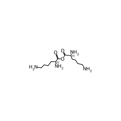 NCCCC[C@H](N)C(=O)OC(=O)[C@@H](N)CCCCN